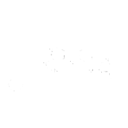 COc1c(Nc2cc(Cl)nc3c2nc(COCc2ccccc2)n3C2CCCCO2)cccc1-c1ncn(C)n1